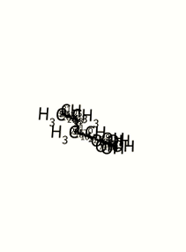 C/C(=C\COC[C@H](O)[C@H](O)[C@@H](O)[C@@H](O)CO)CCCC(C)CCCC(C)CCCC(C)C